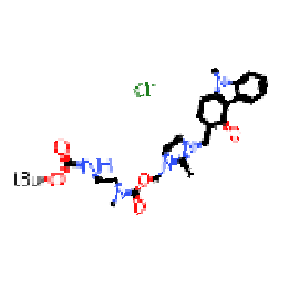 Cc1n(CC2CCc3c(c4ccccc4n3C)C2=O)cc[n+]1COC(=O)N(C)CCNC(=O)OC(C)(C)C.[Cl-]